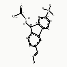 C/N=C/c1ccc2c(c1)-c1ccc([N+](C)(C)C)cc1C2COC(=O)Cl